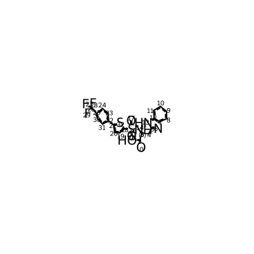 O=C(O)[C@H](Cc1nc2ccccc2[nH]1)NS(=O)(=O)c1ccc(-c2ccc(C(F)(F)F)cc2)s1